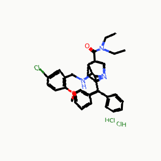 CCN(CC)C(=O)C1CN2CCC1C(NCc1cc(Cl)ccc1OC)C2C(c1ccccc1)c1ccccc1.Cl.Cl